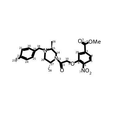 COC(=O)c1ccc([N+](=O)[O-])c(OCC(=O)N2C[C@H](C)N(Cc3ccc(F)cc3)C[C@H]2C)c1